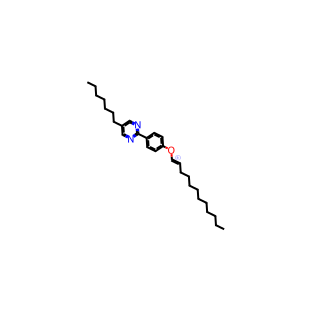 CCCCCCCCCC/C=C/Oc1ccc(-c2ncc(CCCCCCC)cn2)cc1